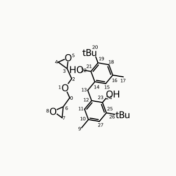 C(OCC1CO1)C1CO1.Cc1cc(Cc2cc(C)cc(C(C)(C)C)c2O)c(O)c(C(C)(C)C)c1